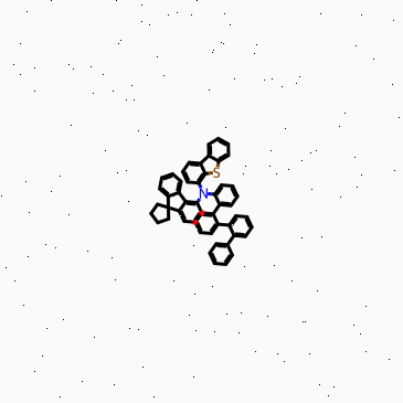 c1ccc(-c2ccccc2-c2ccccc2-c2ccccc2N(c2cccc3c2-c2ccccc2C32CCCC2)c2cccc3c2sc2ccccc23)cc1